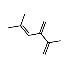 C=C(C)C(=C)C=C(C)C